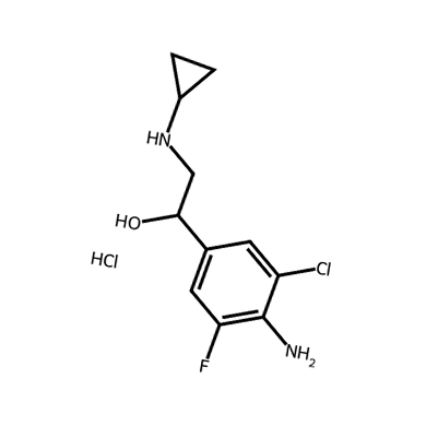 Cl.Nc1c(F)cc(C(O)CNC2CC2)cc1Cl